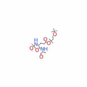 COC(C)(C)N[C@@H](CCC(=O)OC(C)(C)CCOC(C)(C)C)C(=O)N[C@@H](C)C=O